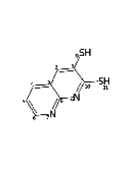 Sc1cc2cccnc2nc1S